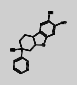 CCCc1cc2c(cc1O)C1CCC(O)(c3ccccc3)CC1O2